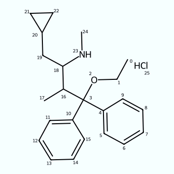 CCOC(c1ccccc1)(c1ccccc1)C(C)C(CC1CC1)NC.Cl